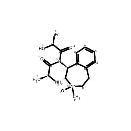 CC(C)[C@H](O)C(=O)N(C(=O)[C@H](C)N)[C@@H]1C[N+](C)([O-])CCc2ccccc21